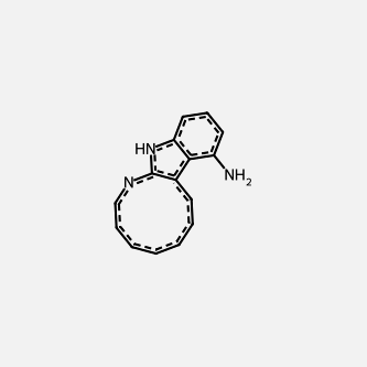 Nc1cccc2[nH]c3ncccccccc3c12